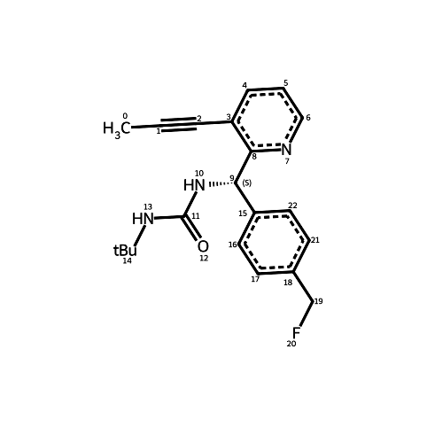 CC#Cc1cccnc1[C@@H](NC(=O)NC(C)(C)C)c1ccc(CF)cc1